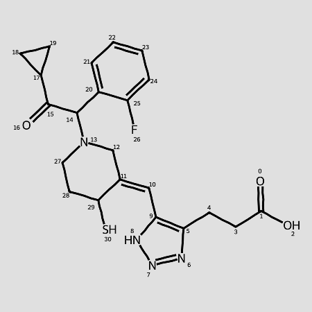 O=C(O)CCc1nn[nH]c1/C=C1/CN(C(C(=O)C2CC2)c2ccccc2F)CCC1S